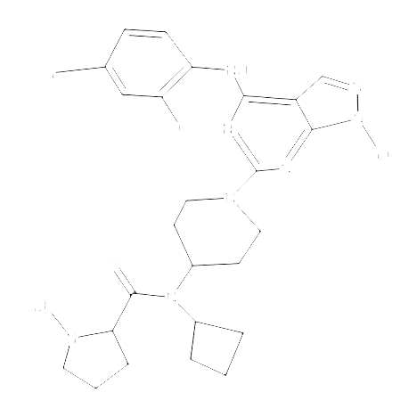 CCN1CCCC1C(=O)N(C1CCC1)C1CCN(c2nc(Nc3ccc(Cl)cc3F)c3cnn(CC)c3n2)CC1